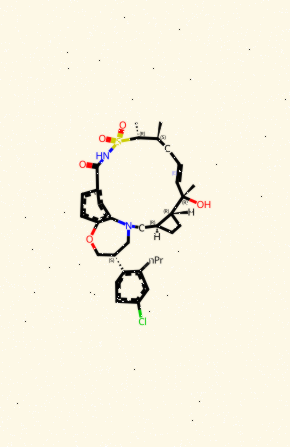 CCCc1cc(Cl)ccc1[C@@H]1COc2ccc3cc2N(C1)C[C@@H]1CC[C@H]1[C@@](C)(O)/C=C/C[C@H](C)[C@@H](C)S(=O)(=O)NC3=O